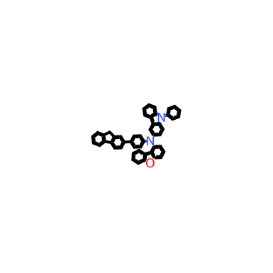 c1ccc(-n2c3ccccc3c3cc(N(c4ccc(-c5ccc6c(c5)Cc5ccccc5-6)cc4)c4cccc5oc6ccccc6c45)ccc32)cc1